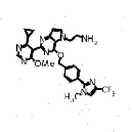 COc1ncnc(C2CC2)c1-c1nc(OCc2ccc(-c3nc(C(F)(F)F)cn3C)cc2)c2c(ccn2CCN)n1